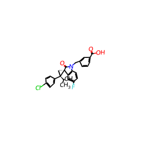 CC(C)[C@@]1(c2ccc(Cl)cc2)C[C@@]12C(=O)N(Cc1cccc(C(=O)O)c1)c1ccc(F)cc12